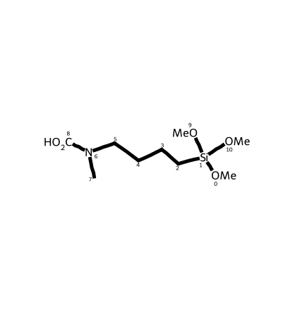 CO[Si](CCCCN(C)C(=O)O)(OC)OC